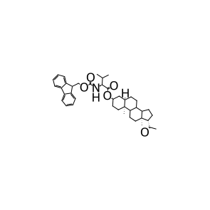 CC(=O)[C@H]1CCC2C3CC[C@@H]4C[C@H](OC(=O)[C@@H](NC(=O)OCC5c6ccccc6-c6ccccc65)C(C)C)CC[C@]4(C)C3CC[C@@]21C